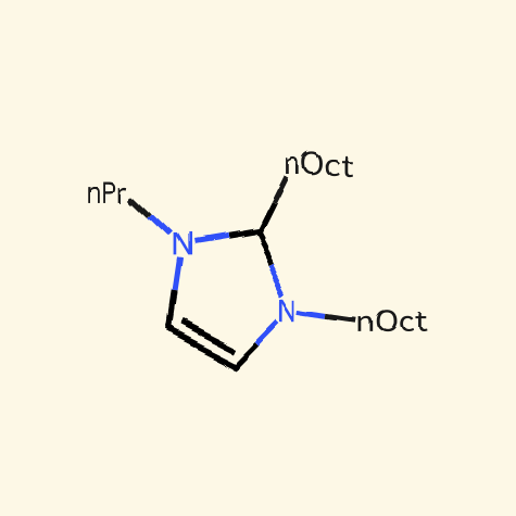 CCCCCCCCC1N(CCC)C=CN1CCCCCCCC